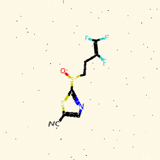 N#Cc1cnc([S+]([O-])CCC(F)=C(F)F)s1